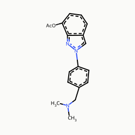 CC(=O)Oc1cccc2cn(-c3ccc(CN(C)C)cc3)nc12